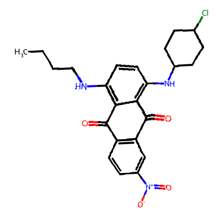 CCCCNc1ccc(NC2CCC(Cl)CC2)c2c1C(=O)c1ccc([N+](=O)[O-])cc1C2=O